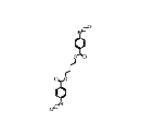 O=C=Nc1ccc(C(=O)OCCCCOC(=O)c2ccc(N=C=O)cc2)cc1